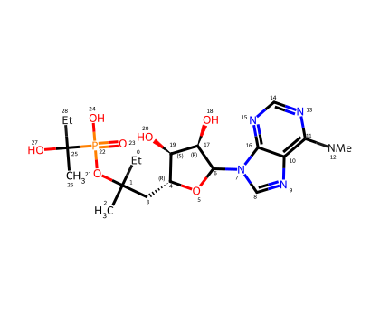 CCC(C)(C[C@H]1OC(n2cnc3c(NC)ncnc32)[C@H](O)[C@@H]1O)OP(=O)(O)C(C)(O)CC